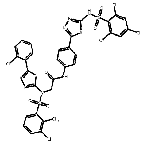 Cc1c(Cl)cccc1S(=O)(=O)N(CC(=O)Nc1ccc(-c2nnc(NS(=O)(=O)c3c(Cl)cc(Cl)cc3Cl)s2)cc1)c1nnc(-c2ccccc2Cl)s1